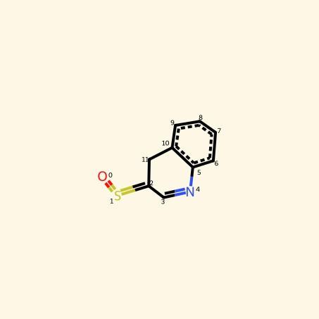 O=S=C1C=Nc2ccccc2C1